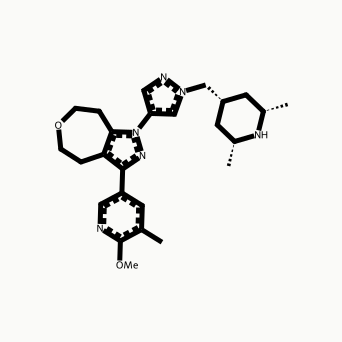 COc1ncc(-c2nn(-c3cnn(C[C@H]4C[C@@H](C)N[C@@H](C)C4)c3)c3c2CCOCC3)cc1C